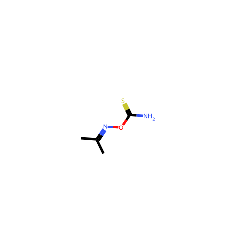 CC(C)=NOC(N)=S